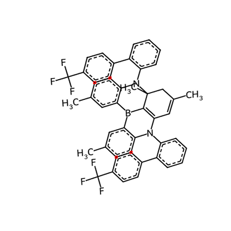 CC1=CC2=C3B(c4cc(C)ccc4N2c2ccccc2-c2ccc(C(F)(F)F)cc2)c2cc(C)ccc2N(c2ccccc2-c2ccc(C(F)(F)F)cc2)C3(C)C1